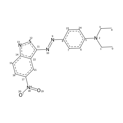 CCN(CC)c1ccc(N=Nc2snc3ccc([N+](=O)[O-])cc23)cc1